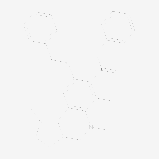 Cc1c(C(=O)Oc2ccccc2)c(OCc2ccccc2)cc2c1N(C)CC1CCN(C)C21